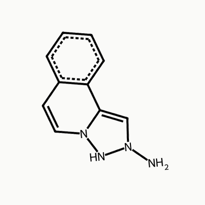 NN1C=C2c3ccccc3C=CN2N1